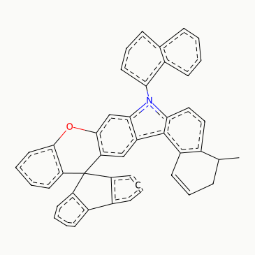 CC1CC=Cc2c1ccc1c2c2cc3c(cc2n1-c1cccc2ccccc12)Oc1ccccc1C31c2ccccc2-c2ccccc21